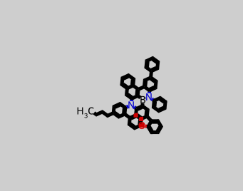 CCCCc1ccc(N2c3cc4oc5ccccc5c4cc3B3c4c2cc2ccccc2c4-c2cc(-c4ccccc4)ccc2N3c2ccccc2)c(-c2ccccc2)c1